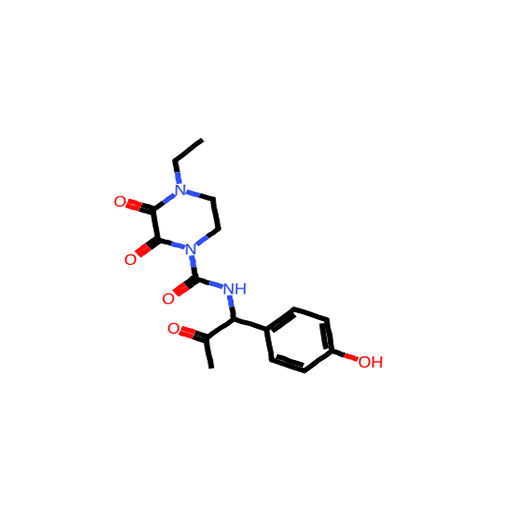 CCN1CCN(C(=O)NC(C(C)=O)c2ccc(O)cc2)C(=O)C1=O